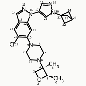 C[C@H]1OC[C@@]1(C)N1CCN(c2cc3c(cnn3-c3cnn(C45CC(C4)C5)c3)cc2Cl)CC1